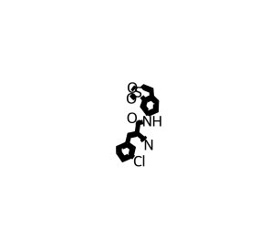 N#CC(=Cc1cccc(Cl)c1)C(=O)Nc1ccc2c(c1)S(=O)(=O)C=C2